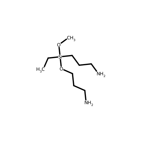 CC[Si](CCCN)(OC)OCCCN